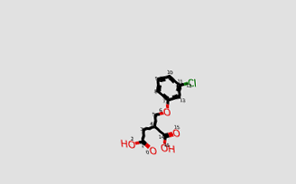 O=C(O)CC(COc1cccc(Cl)c1)C(=O)O